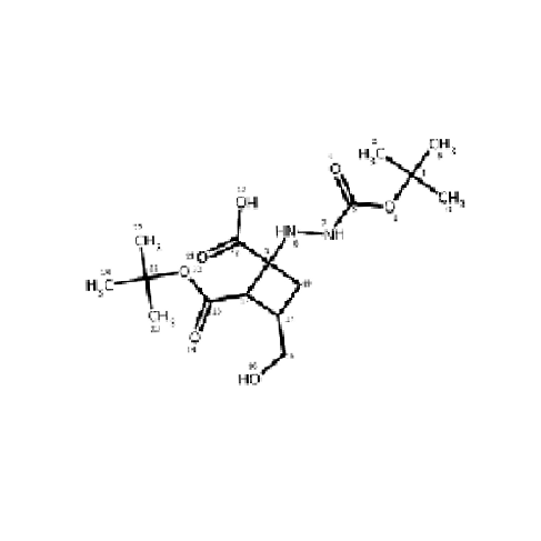 CC(C)(C)OC(=O)NNC1(C(=O)O)CC(CO)C1C(=O)OC(C)(C)C